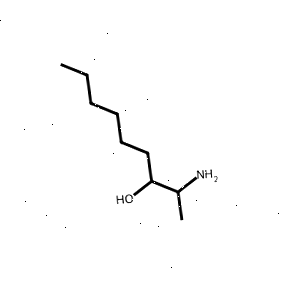 CCCCCCC(O)C(C)N